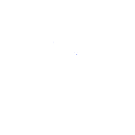 C[SH](O)(Cc1cccc(Nc2ncnc(-c3cccc4c3OC(F)(F)O4)n2)c1)=NC(=O)O